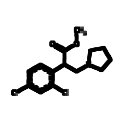 COC(=O)C(CN1CCCC1)c1ccc(Cl)cc1Cl